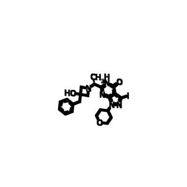 C[C@H](c1nc2c(c(I)nn2C2CCOCC2)c(=O)[nH]1)N1CC(O)(Cc2ccccc2)C1